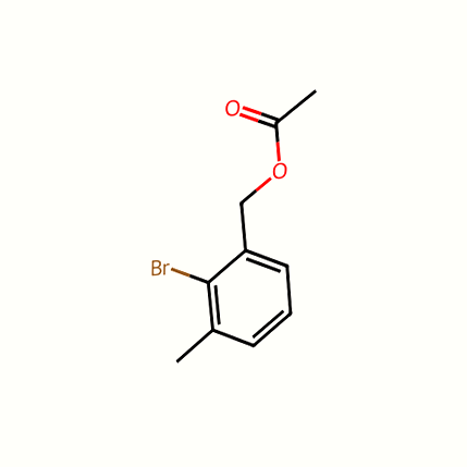 CC(=O)OCc1cccc(C)c1Br